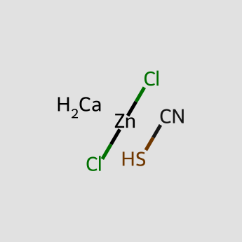 N#CS.[CaH2].[Cl][Zn][Cl]